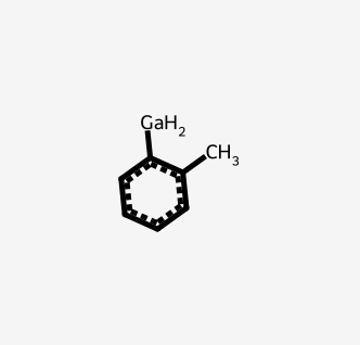 Cc1cccc[c]1[GaH2]